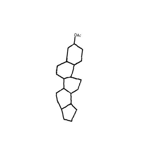 CC(=O)OC1CCC2C(CCC3C2CCC2C4CCCC4CCC23)C1